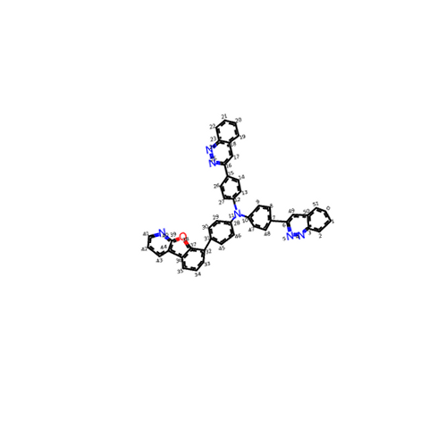 c1ccc2nnc(-c3ccc(N(c4ccc(-c5cc6ccccc6nn5)cc4)c4ccc(-c5cccc6c5oc5ncccc56)cc4)cc3)cc2c1